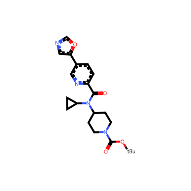 CC(C)(C)OC(=O)N1CCC(N(C(=O)c2ccc(-c3cnco3)cn2)C2CC2)CC1